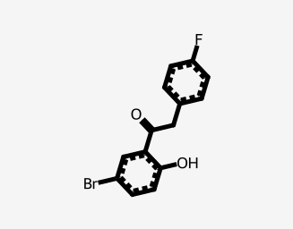 O=C(Cc1ccc(F)cc1)c1cc(Br)ccc1O